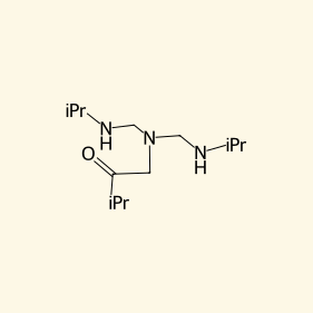 CC(C)NCN(CNC(C)C)CC(=O)C(C)C